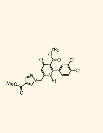 CCn1c(Cn2cc(C(=O)OC)cn2)cc(=O)c(C(=O)OC(C)(C)C)c1-c1ccc(Cl)c(Cl)c1